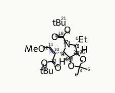 CC[C@@H]1[C@H]2OC(C)(C)O[C@H]2[C@H](/C(=C/OC)C(=O)OC(C)(C)C)N1C(=O)OC(C)(C)C